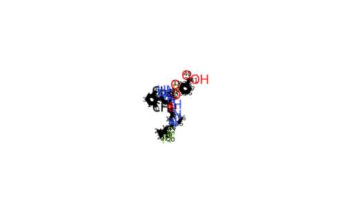 Cc1cccc(C)c1-c1cc(OCC2CN(CCC3(C(F)(F)F)CC3)CCN2)nc(NS(=O)(=O)c2cccc(C(=O)O)c2)n1